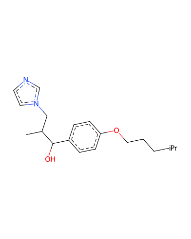 CC(C)CCCOc1ccc(C(O)C(C)Cn2ccnc2)cc1